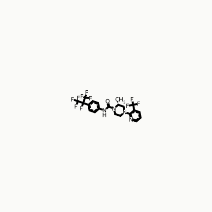 C[C@@H]1CN(c2ncccc2C(F)(F)F)CCN1C(=O)Nc1ccc(C(F)(C(F)(F)F)C(F)(F)F)cc1